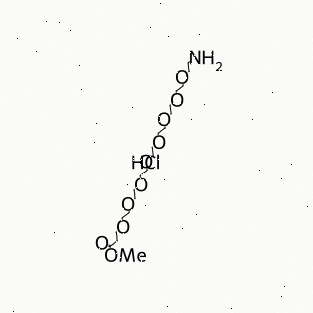 COC(=O)CCOCCOCCOCCOCCOCCOCCOCCOCCN.Cl